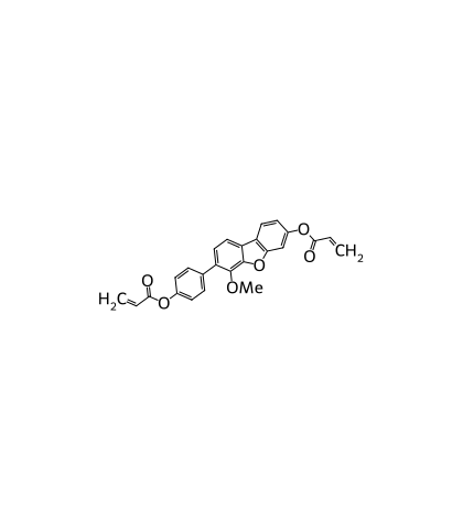 C=CC(=O)Oc1ccc(-c2ccc3c(oc4cc(OC(=O)C=C)ccc43)c2OC)cc1